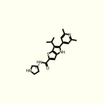 Cc1cc(-c2[nH]c3cc(C(=O)N[C@@H]4CCNC4)sc3c2C(C)C)cc(C)n1